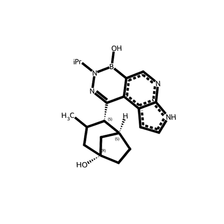 CC1C[C@]2(O)CC[C@@H](C2)[C@H]1C1=NN(C(C)C)B(O)c2cnc3[nH]ccc3c21